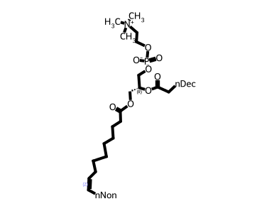 CCCCCCCCC/C=C\CCCCCCCC(=O)OC[C@H](COP(=O)([O-])OCC[N+](C)(C)C)OC(=O)CCCCCCCCCCC